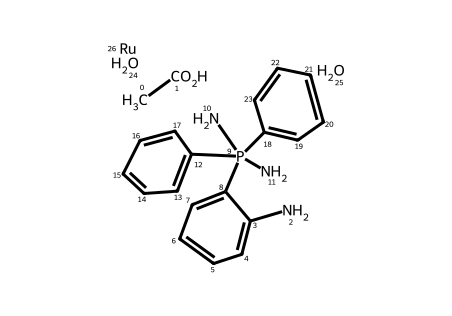 CC(=O)O.Nc1ccccc1P(N)(N)(c1ccccc1)c1ccccc1.O.O.[Ru]